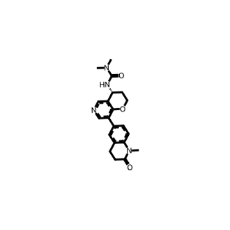 CN(C)C(=O)N[C@@H]1CCOc2c(-c3ccc4c(c3)CCC(=O)N4C)cncc21